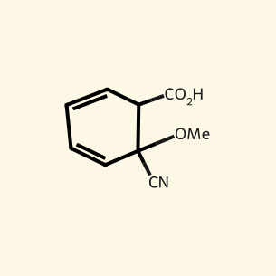 COC1(C#N)C=CC=CC1C(=O)O